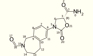 NC(=O)[C@H]1CN(c2ccc3c(c2)CCCN(C=O)C3)C(=O)O1